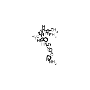 Cc1cnc(Nc2cc(C)n(C)n2)nc1-c1c[nH]c2c(NC(=O)CN3CC[C@H](Oc4ccnc(N)c4)C3)cccc12